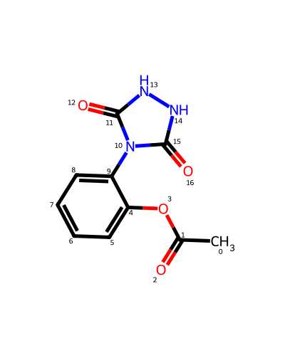 CC(=O)Oc1ccccc1-n1c(=O)[nH][nH]c1=O